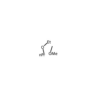 CCCOCC.COC